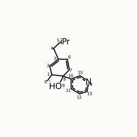 [CH2]C1C=C(CC(C)C)C=CC1(O)c1cccnc1